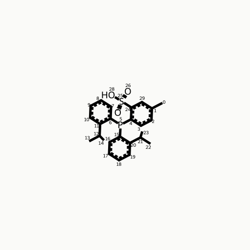 Cc1ccc(P(c2ccccc2C(C)C)c2ccccc2C(C)C)c(S(=O)(=O)O)c1